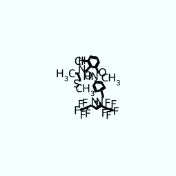 CSCC(C)NC(=O)c1c(Cl)cccc1C(=O)Nc1ccc(Cn2nc(C(F)(F)C(F)(F)F)cc2C(F)(F)C(F)(F)F)cc1C